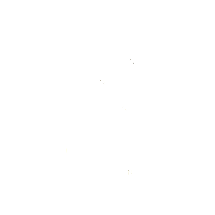 Fc1cc(-c2cnc(C3=CC=C4CCCCC4N3)s2)cc(N2CCCCC2)c1